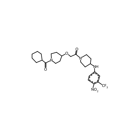 O=C(COC1CCN(C(=O)C2CCCCC2)CC1)N1CCC(Nc2ccc([N+](=O)[O-])c(C(F)(F)F)c2)CC1